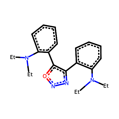 CCN(CC)c1ccccc1-c1nnoc1-c1ccccc1N(CC)CC